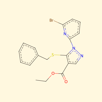 CCOC(=O)c1cnn(-c2cccc(Br)n2)c1SCc1ccccc1